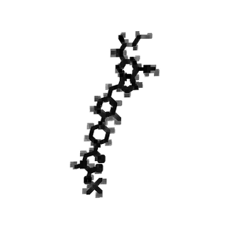 CCC[C@H](C)Nc1nc(N)c2ncc(Cc3cnc(N4CCN(C(=O)CN(C)C(=O)OC(C)(C)C)CC4)c(C)c3)n2n1